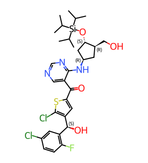 CC(C)[Si](O[C@H]1C[C@H](Nc2ncncc2C(=O)c2cc([C@@H](O)c3cc(Cl)ccc3F)c(Cl)s2)C[C@@H]1CO)(C(C)C)C(C)C